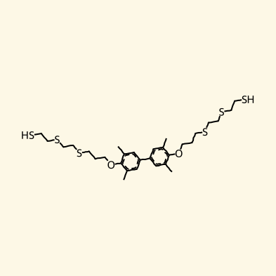 Cc1cc(-c2cc(C)c(OCCCSCCSCCS)c(C)c2)cc(C)c1OCCCSCCSCCS